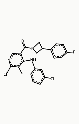 Cc1c(Cl)ncc(C(=O)N2CC(c3ccc(F)cc3)C2)c1Nc1cccc(Cl)c1